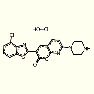 O=c1oc2nc(N3CCNCC3)ccc2cc1-c1nc2c(Cl)cccc2s1.OCl